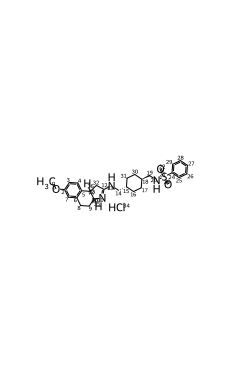 COc1ccc2c(c1)CC[C@H]1N=C(NC[C@H]3CC[C@H](CNS(=O)(=O)c4ccccc4)CC3)C[C@@H]21.Cl